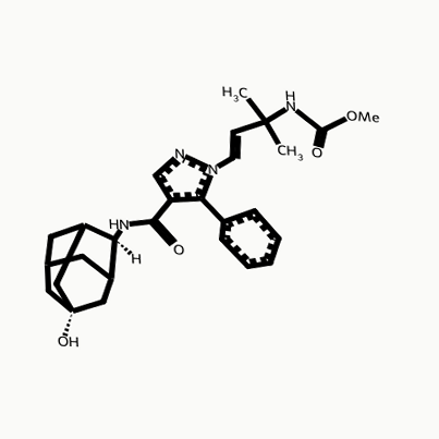 COC(=O)NC(C)(C)/C=C/n1ncc(C(=O)N[C@H]2C3CC4CC2C[C@](O)(C4)C3)c1-c1ccccc1